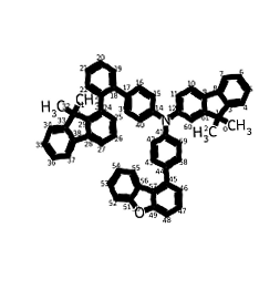 CC1(C)c2ccccc2-c2ccc(N(c3ccc(-c4ccccc4-c4cccc5c4C(C)(C)c4ccccc4-5)cc3)c3ccc(-c4cccc5oc6ccccc6c45)cc3)cc21